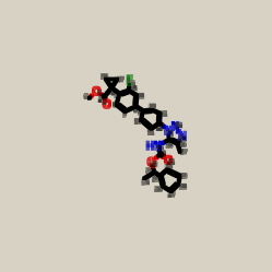 COC(=O)C1(c2ccc(-c3ccc(-n4nnc(C)c4NC(=O)OC(C)c4ccccc4)cc3)cc2F)CC1